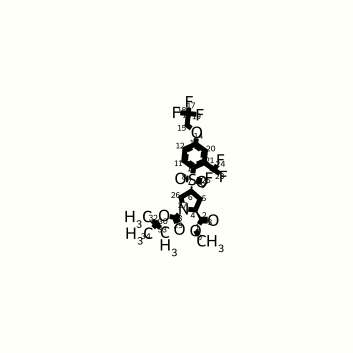 COC(=O)[C@@H]1C[C@@H](S(=O)(=O)c2ccc(OCC(F)(F)F)cc2C(F)(F)F)CN1C(=O)OC(C)(C)C